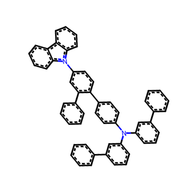 c1ccc(-c2cccc(N(c3ccc(-c4ccc(-n5c6ccccc6c6ccccc65)cc4-c4ccccc4)cc3)c3cccc(-c4ccccc4)c3)c2)cc1